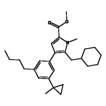 CCCCc1cc(-c2cc(C(=O)OC)n(C)c2CC2CCCCC2)cc(C2(C)CC2)c1